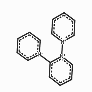 c1cc[n+](-c2cccc[n+]2-[n+]2ccccc2)cc1